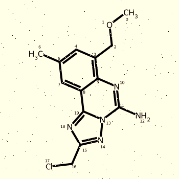 COCc1cc(C)cc2c1nc(N)n1nc(CCl)nc21